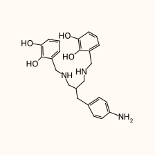 Nc1ccc(CC(CNCc2cccc(O)c2O)CNCc2cccc(O)c2O)cc1